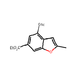 CCOC(=O)c1cc(OC(C)=O)c2cc(C)oc2c1